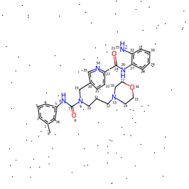 Cc1cccc(NC(=O)N(CCCN2CCOCC2)Cc2ccc(C(=O)Nc3ccccc3N)nc2)c1